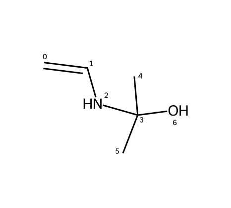 C=CNC(C)(C)O